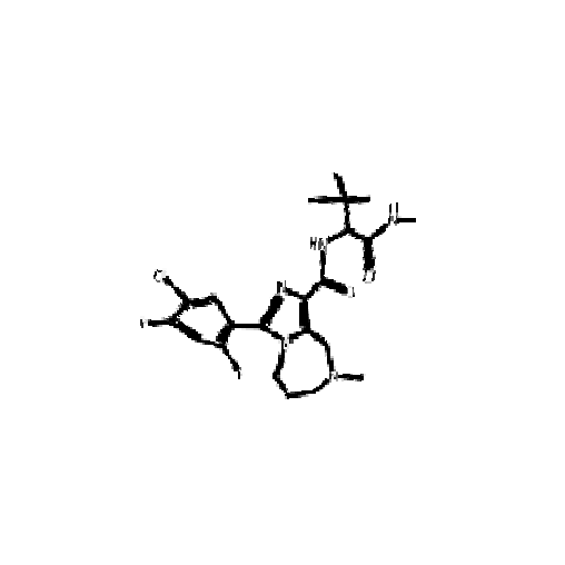 CNC(=O)C(NC(=O)c1nc(-c2cc(Cl)c(F)cc2F)n2c1CN(C)CCC2)C(C)(C)C